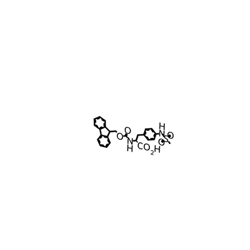 CS(=O)(=O)Nc1ccc(C[C@H](NC(=O)OCC2c3ccccc3-c3ccccc32)C(=O)O)cc1